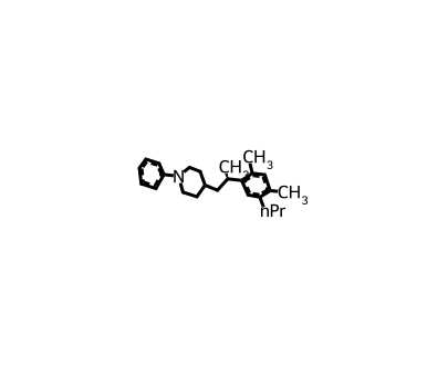 CCCc1cc([C@H](C)CC2CCN(c3ccccc3)CC2)c(C)cc1C